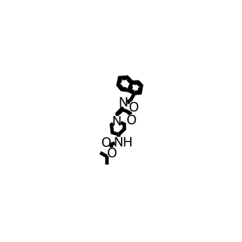 CC(C)OC(=O)NC1CCN(/C=C2/N=C(c3cccc4ccccc34)OC2=O)CC1